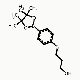 CC1(C)OB(c2ccc(SCCCO)cc2)OC1(C)C